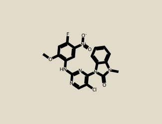 COc1cc(F)c([N+](=O)[O-])cc1Nc1ncc(Cl)c(-n2c(=O)n(C)c3ccccc32)n1